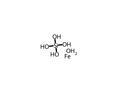 O.O[Si](O)(O)O.[Fe]